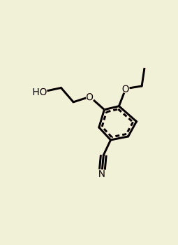 CCOc1ccc(C#N)cc1OCCO